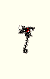 CCN(C(=O)CCCCCCCCCCc1ccccc1)[C@@H]1CC[C@H]2[C@H]3Cc4c(O)cc(OC(C)=O)c5c4[C@@]2(CCN3CC2CC2)[C@H]1O5